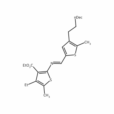 CCCCCCCCCCCCc1cc(/C=N/c2sc(C)c(CC)c2C(=O)OCC)sc1C